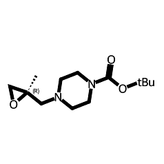 CC(C)(C)OC(=O)N1CCN(C[C@]2(C)CO2)CC1